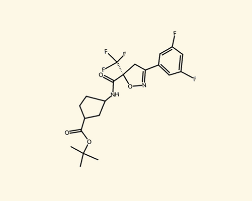 CC(C)(C)OC(=O)C1CCC(NC(=O)[C@@]2(C(F)(F)F)CC(c3cc(F)cc(F)c3)=NO2)C1